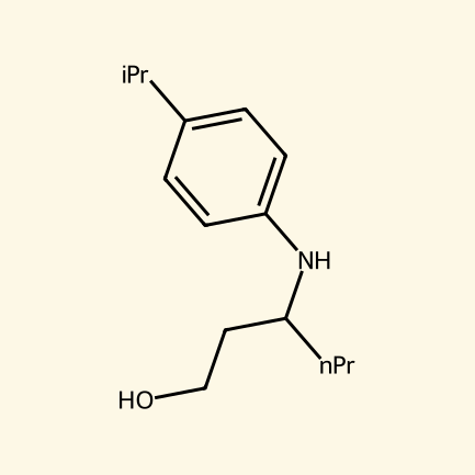 CCCC(CCO)Nc1ccc(C(C)C)cc1